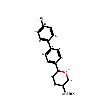 CCCCCCC1CCC(c2ccc(-c3ccc(CC)cc3)cc2)OC1